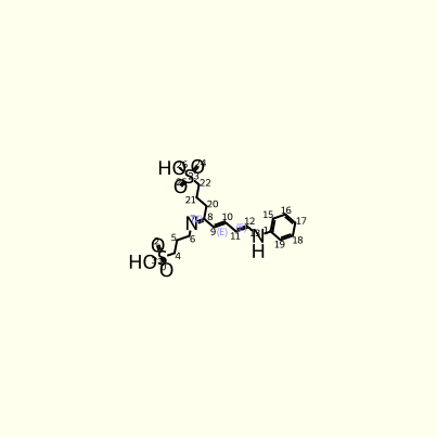 O=S(=O)(O)CCC\N=C(/C=C/C=C/Nc1ccccc1)CCCS(=O)(=O)O